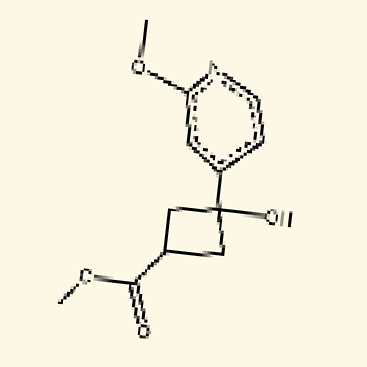 COC(=O)C1CC(O)(c2ccnc(OC)c2)C1